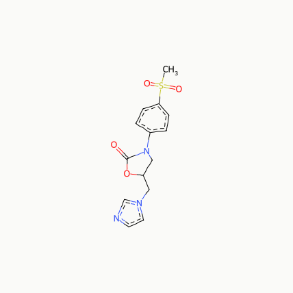 CS(=O)(=O)c1ccc(N2CC(Cn3ccnc3)OC2=O)cc1